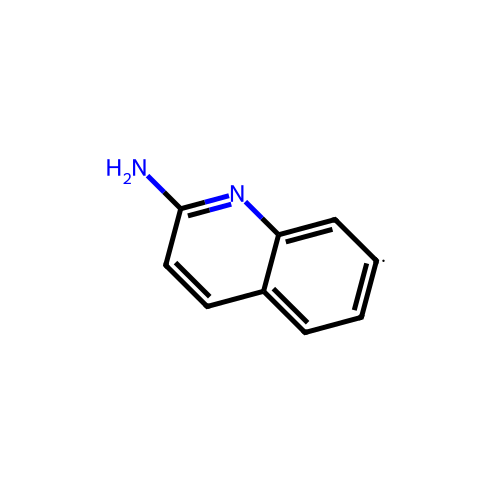 Nc1ccc2cc[c]cc2n1